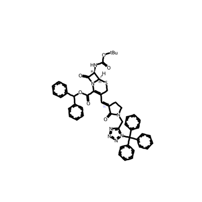 CC(C)(C)OC(=O)N[C@@H]1C(=O)N2C(C(=O)OC(c3ccccc3)c3ccccc3)=C(/C=C3\CCN(Cc4nnnn4C(c4ccccc4)(c4ccccc4)c4ccccc4)C3=O)CS[C@H]12